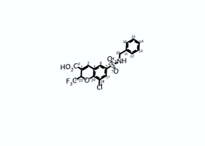 O=C(O)C1=Cc2cc(S(=O)(=O)NCc3ccccc3)cc(Cl)c2OC1C(F)(F)F